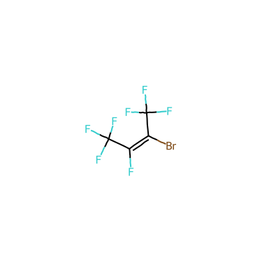 F/C(=C(\Br)C(F)(F)F)C(F)(F)F